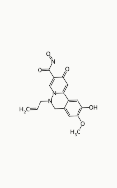 C=CCN1Cc2cc(OC)c(O)cc2-c2cc(=O)c(C(=O)N=O)cn21